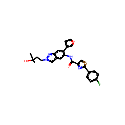 CC(C)(O)CCn1cc2cc(NC(=O)c3csc(-c4ccc(F)cc4)n3)c(-c3ccoc3)cc2n1